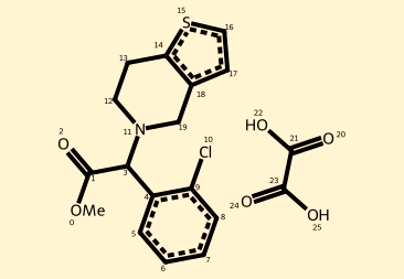 COC(=O)C(c1ccccc1Cl)N1CCc2sccc2C1.O=C(O)C(=O)O